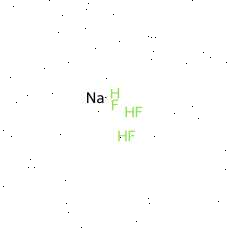 F.F.F.[Na]